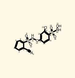 N#Cc1ccccc1S(=O)(=O)NOc1ccc(S(=O)(=O)NO)c(Cl)c1